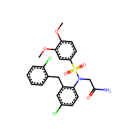 COc1ccc(S(=O)(=O)N(CC(N)=O)c2ccc(Cl)cc2Cc2ccccc2Cl)cc1OC